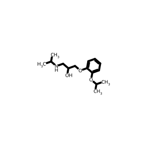 CC(C)NCC(O)COc1ccccc1OC(C)C